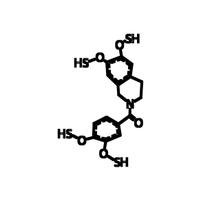 O=C(c1ccc(OS)c(OS)c1)N1CCc2cc(OS)c(OS)cc2C1